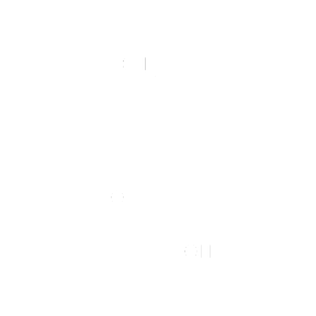 CCC1CC(O)O1